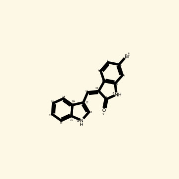 O=C1Nc2cc(Br)ccc2/C1=C/c1c[nH]c2ccccc12